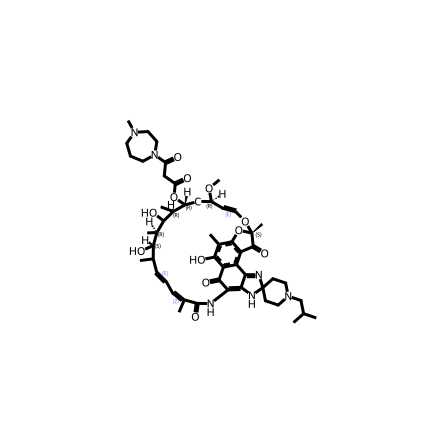 CO[C@H]1/C=C/O[C@@]2(C)Oc3c(C)c(O)c4c(c3C2=O)C2=NC3(CCN(CC(C)C)CC3)NC2=C(NC(=O)/C(C)=C\C=C\C(C)[C@H](O)[C@@H](C)C(O)[C@@H](C)[C@H](OC(=O)CC(=O)N2CCCN(C)CC2)C1)C4=O